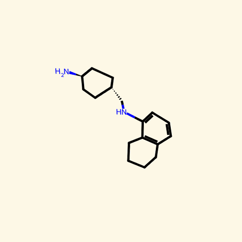 N[C@H]1CC[C@H](CNc2cccc3c2CCCC3)CC1